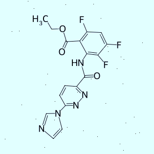 CCOC(=O)c1c(F)cc(F)c(F)c1NC(=O)c1ccc(-n2ccnc2)nn1